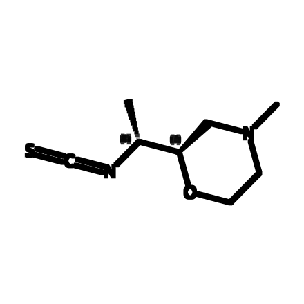 C[C@@H](N=C=S)[C@H]1CN(C)CCO1